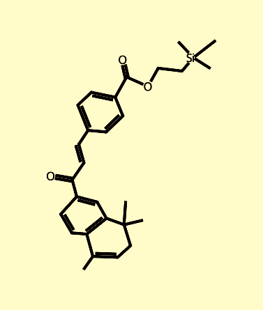 CC1=CCC(C)(C)c2cc(C(=O)/C=C/c3ccc(C(=O)OCC[Si](C)(C)C)cc3)ccc21